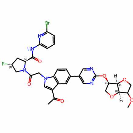 COC1CO[C@H]2[C@@H]1OC[C@H]2Oc1ncc(-c2ccc3c(c2)c(C(C)=O)cn3CC(=O)N2C[C@H](F)C[C@H]2C(=O)Nc2cccc(Br)n2)cn1